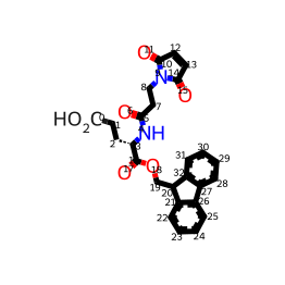 O=C(O)CC[C@H](NC(=O)CCN1C(=O)C=CC1=O)C(=O)OCC1c2ccccc2-c2ccccc21